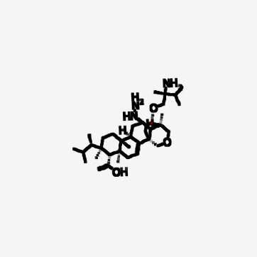 C=C(O)[C@@H]1[C@@](C)([C@H](C)C(C)C)CC[C@]2(C)[C@H]3CC[C@@H]4[C@@]5(COC[C@]4(C)[C@@H](OC[C@](C)(N)C(C)C)[C@H](NN)C5)C3=CC[C@@]12C